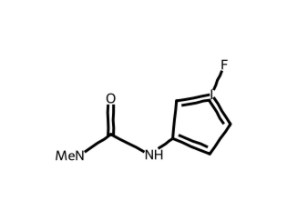 CNC(=O)NC1=CC=I(F)=C1